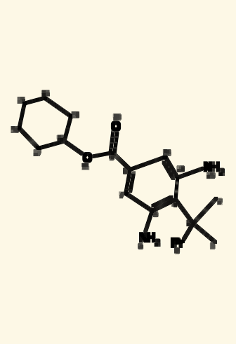 CC(C)C(C)(C)c1c(N)cc(C(=O)OC2CCCCC2)cc1N